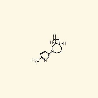 Cc1ccc(N2CCC[C@H]3CN[C@H]3C2)cn1